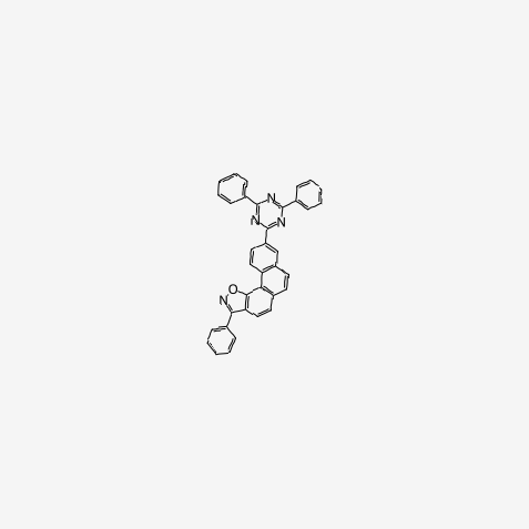 c1ccc(-c2nc(-c3ccccc3)nc(-c3ccc4c(ccc5ccc6c(-c7ccccc7)noc6c54)c3)n2)cc1